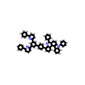 c1ccc(-c2cccc(-c3cc(-c4ccc(-c5cccc6c5nc(-c5ccccc5)c5ccc7c(c8ccccc8n7-c7ccccc7)c56)cc4)cc(-c4cccc(-c5ccccc5)n4)c3)n2)cc1